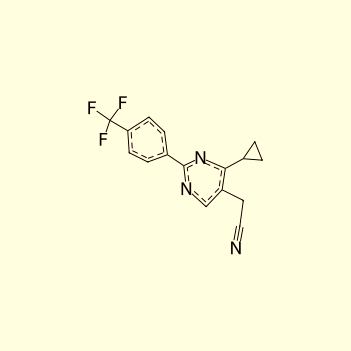 N#CCc1cnc(-c2ccc(C(F)(F)F)cc2)nc1C1CC1